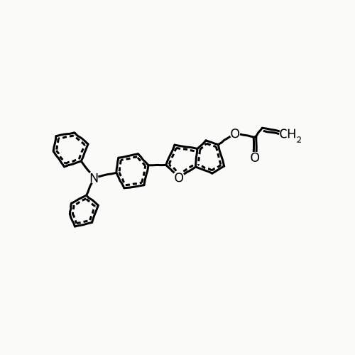 C=CC(=O)Oc1ccc2oc(-c3ccc(N(c4ccccc4)c4ccccc4)cc3)cc2c1